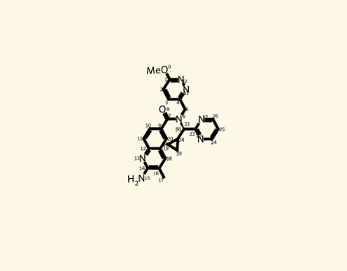 COc1ccc(CN(C(=O)c2ccc3nc(N)c(C)cc3c2)[C@@H](c2ncccn2)C2CC2)nn1